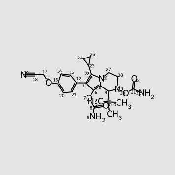 CC(C)(C)C1c2c(OC(N)=O)c(-c3ccc(OCC#N)cc3)c(C3CC3)n2CCN1OC(N)=O